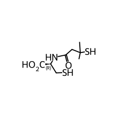 CC(C)(S)CC(=O)N[C@@H](CS)C(=O)O